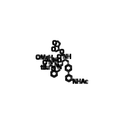 COC(=O)NC(C(=O)NN(Cc1ccccc1)CC(O)C(Cc1ccc(-c2cccc(NC(C)=O)c2)cc1)NC(=O)OC1COC2OCCC12)C(C)(C)C